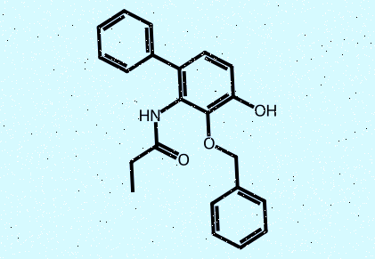 CCC(=O)Nc1c(-c2ccccc2)ccc(O)c1OCc1ccccc1